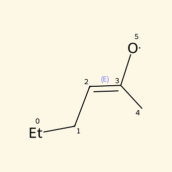 CCC/C=C(\C)[O]